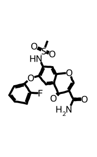 CS(=O)(=O)Nc1cc2occ(C(N)=O)c(=O)c2cc1Oc1ccccc1F